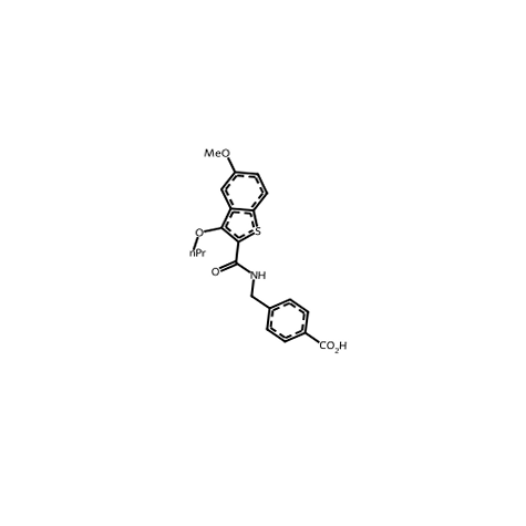 CCCOc1c(C(=O)NCc2ccc(C(=O)O)cc2)sc2ccc(OC)cc12